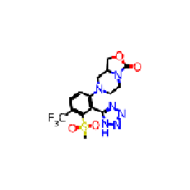 CS(=O)(=O)c1c(C(F)(F)F)ccc(N2CCN3C(=O)OCC3C2)c1-c1nnn[nH]1